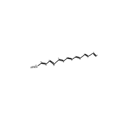 [CH]=CC=CC=CC=CC=CC=CC=CCCCCCC